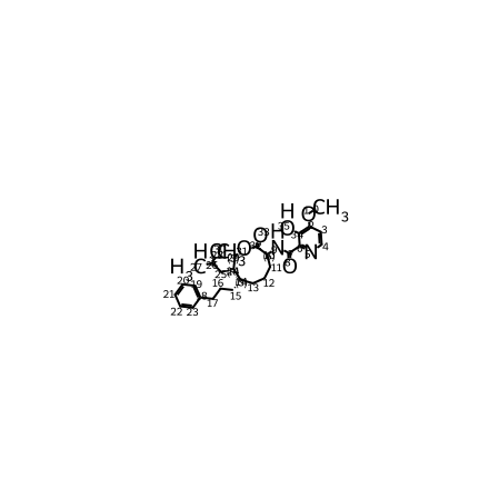 COc1ccnc(C(=O)N[C@H]2CCC[C@H](CCCc3ccccc3)[C@@H](CC(C)C)[C@H](C)OC2=O)c1O